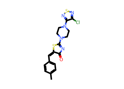 Cc1ccc(C=C2SC(N3CCN(c4nsnc4Cl)CC3)=NC2=O)cc1